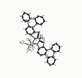 CCC1=Cc2c(ccc(C(C)C)c2-c2ccccc2-c2ccccc2)[CH]1[Zr]([Cl])([Cl])([CH]1C(CC)=Cc2c1ccc(C(C)C)c2-c1ccccc1-c1ccccc1)[SiH](C)C